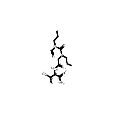 CCCN(C=O)C(=O)N(CCC)CC(=O)NC(C(N)=O)C(C)O